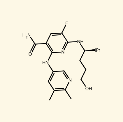 Cc1cc(Nc2nc(N[C@H](CCCO)C(C)C)c(F)cc2C(N)=O)cnc1C